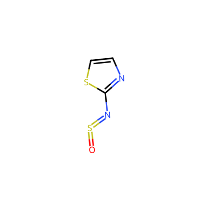 O=S=Nc1nccs1